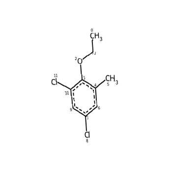 C[CH]Oc1c(C)cc(Cl)cc1Cl